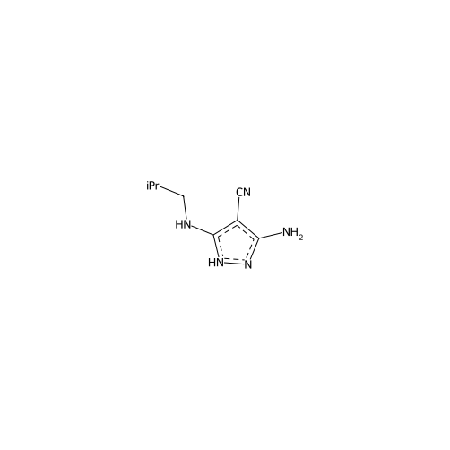 CC(C)CNc1[nH]nc(N)c1C#N